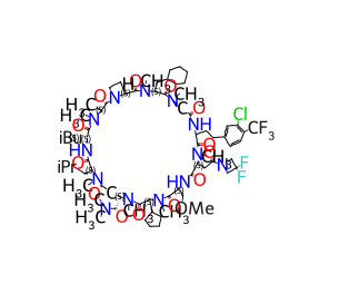 CC[C@H](C)[C@@H]1NC(=O)[C@H](CC(C)C)N(C)C(=O)C[C@@H](C(=O)N(C)C)N(C)C(=O)[C@H](C2CCCC2)N(C)C(=O)[C@H](COC)NC(=O)[C@H](CC(=O)N2CC(F)(F)C2)N(C)C(=O)C(CCc2ccc(C(F)(F)F)c(Cl)c2)NC(=O)CN(C)C(=O)[C@H](CC2CCCCC2)N(C)C(=O)[C@@H]2CCN2C(=O)[C@H](C)N(C)C1=O